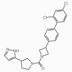 O=C(N1CC(c2ccc(-c3ccc(Cl)cc3Cl)cc2)C1)N1CCC(c2ccn[nH]2)C1